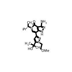 COCCn1nc(-c2cn([C@@H](C)C(C)C)c(=O)c3c(N)n[nH]c23)cc1C(C)(C)O